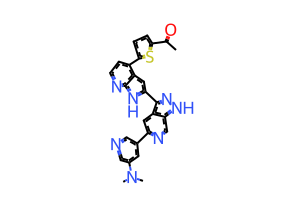 CC(=O)c1ccc(-c2ccnc3[nH]c(-c4n[nH]c5cnc(-c6cncc(N(C)C)c6)cc45)cc23)s1